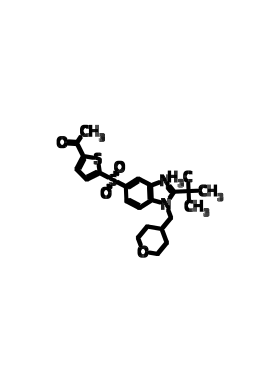 CC(=O)c1ccc(S(=O)(=O)c2ccc3c(c2)nc(C(C)(C)C)n3CC2CCOCC2)s1